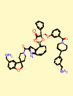 NCc1cccc(C2CCN(C(=O)c3cccc(OC[C@]4(c5ccccc5)OB(c5cccc6[nH]c(C(=O)N7CCC8(CC7)COc7ccc(CN)cc78)cc56)OC4=O)c3)CC2)c1